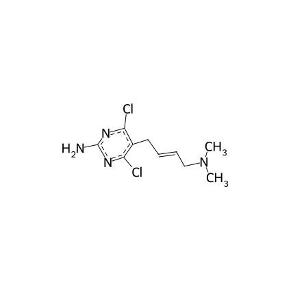 CN(C)C/C=C/Cc1c(Cl)nc(N)nc1Cl